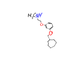 CNCCOc1cccc(OCC2CCCCCC2)c1